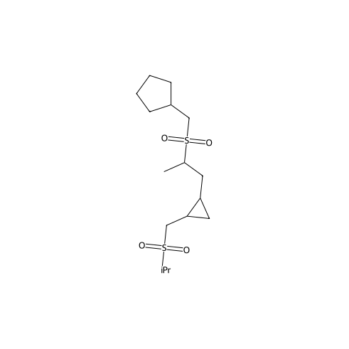 CC(C)S(=O)(=O)CC1CC1CC(C)S(=O)(=O)CC1CCCC1